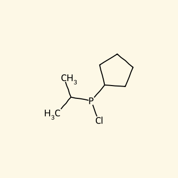 CC(C)P(Cl)C1CCCC1